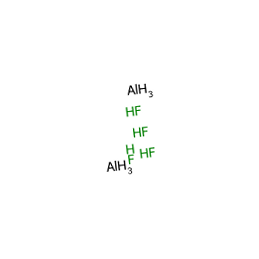 F.F.F.F.[AlH3].[AlH3]